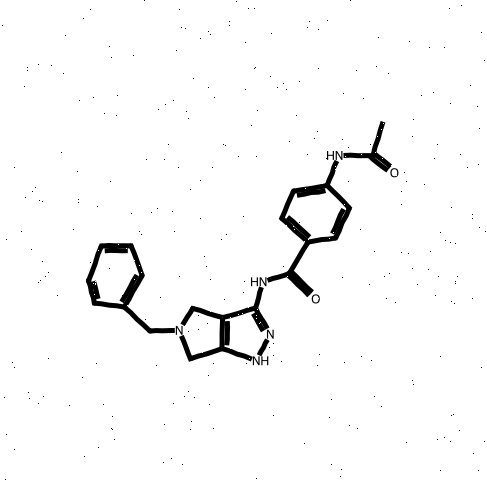 CC(=O)Nc1ccc(C(=O)Nc2n[nH]c3c2CN(Cc2ccccc2)C3)cc1